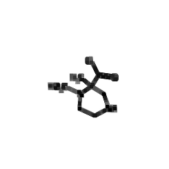 CC1(C(=O)Cl)CNCCN1C(=O)O